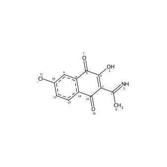 CC(=N)C1=C(O)C(=O)c2cc(Cl)ccc2C1=O